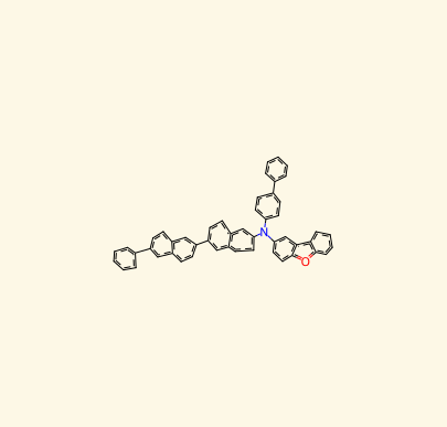 c1ccc(-c2ccc(N(c3ccc4cc(-c5ccc6cc(-c7ccccc7)ccc6c5)ccc4c3)c3ccc4oc5ccccc5c4c3)cc2)cc1